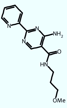 COCCCNC(=O)c1cnc(-c2ccccn2)nc1N